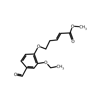 CCOc1cc(C=O)ccc1OCCC=CC(=O)OC